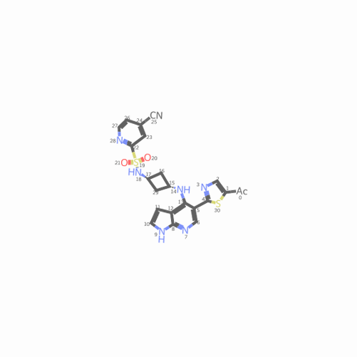 CC(=O)c1cnc(-c2cnc3[nH]ccc3c2N[C@H]2C[C@H](NS(=O)(=O)c3cc(C#N)ccn3)C2)s1